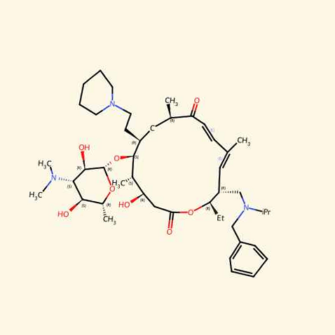 CC[C@H]1OC(=O)C[C@@H](O)[C@H](C)[C@@H](O[C@@H]2O[C@H](C)[C@@H](O)[C@H](N(C)C)[C@H]2O)[C@@H](CCN2CCCCC2)C[C@@H](C)C(=O)/C=C/C(C)=C/[C@@H]1CN(Cc1ccccc1)C(C)C